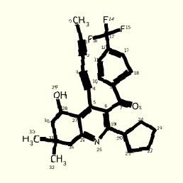 CC#CC#Cc1c(C(=O)c2ccc(C(F)(F)F)cc2)c(C2CCCC2)nc2c1C(O)CC(C)(C)C2